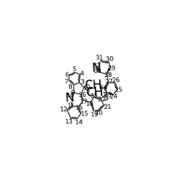 CC1(C)c2ccccc2-c2nc3ccccc3c(-c3cccc(-c4cccc(-c5cccnc5)c4)c3)c21